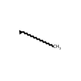 CCCCCCCCCCCCCCCCCCCCC[C]1CC1